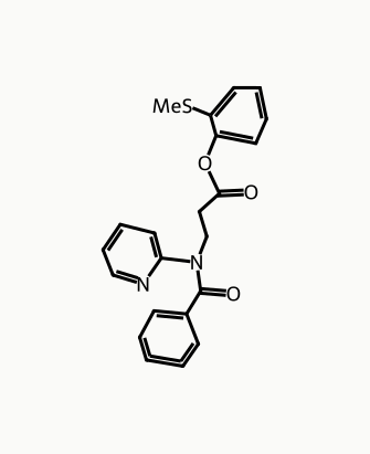 CSc1ccccc1OC(=O)CCN(C(=O)C1=CC=C=C=C1)c1ccccn1